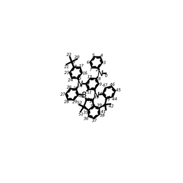 CN(c1ccccc1)c1cc2c3c(c1)N(c1ccc(C(C)(C)C)cc1)c1ccccc1B3C1=C3c4c(cccc4C(C)(C)c4ccccc4N32)C1(C)C